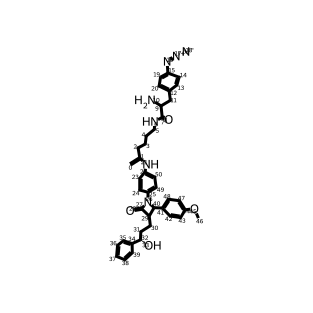 C=C(CCCCNC(=O)C(N)Cc1ccc(N=[N+]=[N-])cc1)Nc1ccc(N2C(=O)C(CC[C@H](O)c3ccccc3)C2c2ccc(OC)cc2)cc1